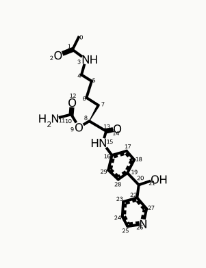 CC(=O)NCCCC[C@H](OC(N)=O)C(=O)Nc1ccc(C(O)c2cccnc2)cc1